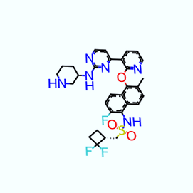 Cc1ccc2c(NS(=O)(=O)C[C@H]3CCC3(F)F)c(F)ccc2c1Oc1ncccc1-c1ccnc(NC2CCCNC2)n1